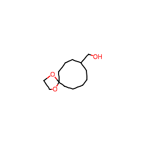 OCC1CCCCCC2(CCC1)OCCO2